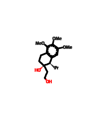 COc1cc2c(c(OC)c1OC)CC[C@](O)(CCO)[C@H]2C(C)C